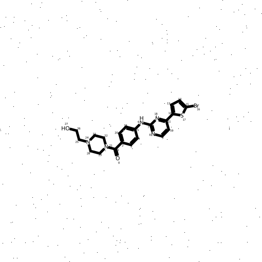 O=C(c1ccc(Nc2nccc(-c3ccc(Br)s3)n2)cc1)N1CCN(CCO)CC1